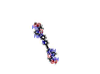 COC(=O)N[C@H](C(=O)N1CCC[C@H]1c1ncc(C#Cc2ccc(-c3ccc4nc([C@@H]5CCCN5C(=O)[C@@H](NC(=O)OC)C(C)C)[nH]c4c3)nc2)[nH]1)C(C)C